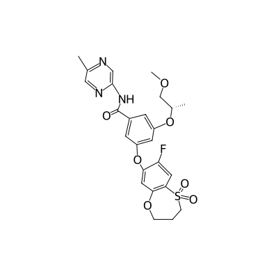 COC[C@H](C)Oc1cc(Oc2cc3c(cc2F)S(=O)(=O)CCCO3)cc(C(=O)Nc2cnc(C)cn2)c1